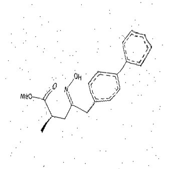 COC(=O)[C@H](C)CC(Cc1ccc(-c2ccccc2)cc1)=NO